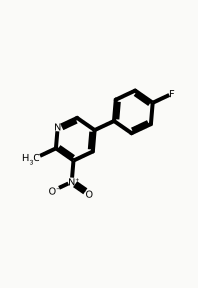 Cc1ncc(-c2ccc(F)cc2)cc1[N+](=O)[O-]